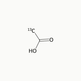 [13CH3]C(=O)O